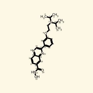 CC(C)N(CCOc1cccc(-c2cnc3ccc(C(=O)NO)cc3n2)c1)C(C)C